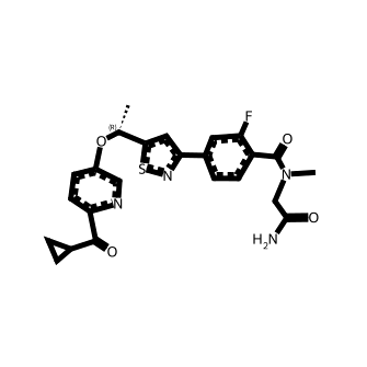 C[C@@H](Oc1ccc(C(=O)C2CC2)nc1)c1cc(-c2ccc(C(=O)N(C)CC(N)=O)c(F)c2)ns1